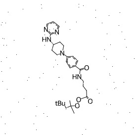 CC(C)(C)CC(C)(C)OOC(=O)CCCNC(=O)c1ccc(N2CCC(Nc3ncccn3)CC2)cc1